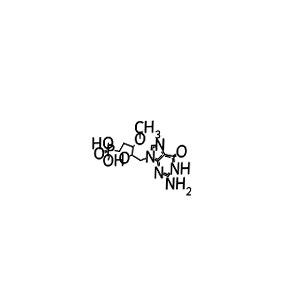 COC1CC(P(=O)(O)O)OC1Cn1cnc2c(=O)[nH]c(N)nc21